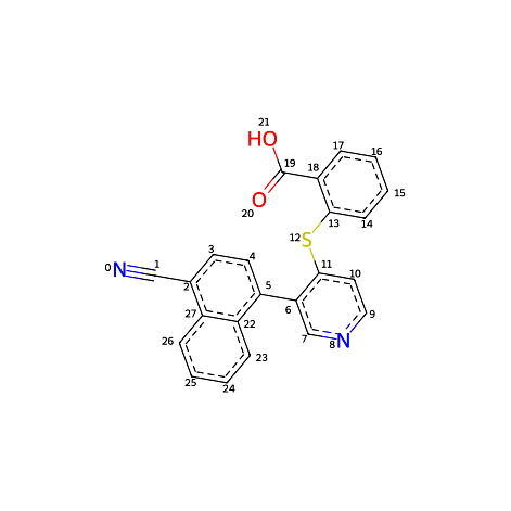 N#Cc1ccc(-c2cnccc2Sc2ccccc2C(=O)O)c2ccccc12